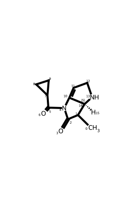 CC1C(=O)N(C(=O)C2CC2)C2=CCN[C@H]21